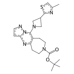 Cc1csc(C2CN(c3c4c(nc5ccnn35)CCN(C(=O)OC(C)(C)C)CC4)C2)n1